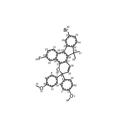 COc1ccc(C2(c3ccc(OC)cc3)C=Cc3c4c(c5ccc(F)cc5c3O2)-c2cc(Br)ccc2C4(C)C)cc1